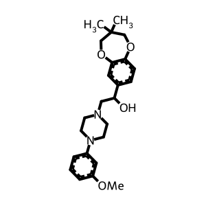 COc1cccc(N2CCN(CC(O)c3ccc4c(c3)OCC(C)(C)CO4)CC2)c1